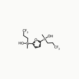 C[Si](O)(CCC(F)(F)F)c1ccc([Si](C)(O)CCC(F)(F)F)o1